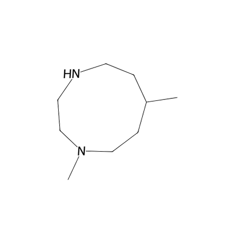 CC1CCNCCN(C)CC1